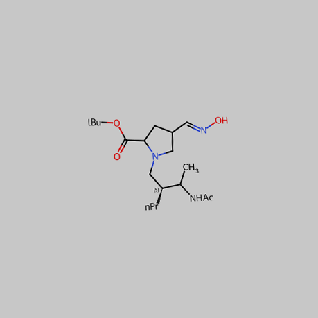 CCC[C@@H](CN1CC(C=NO)CC1C(=O)OC(C)(C)C)C(C)NC(C)=O